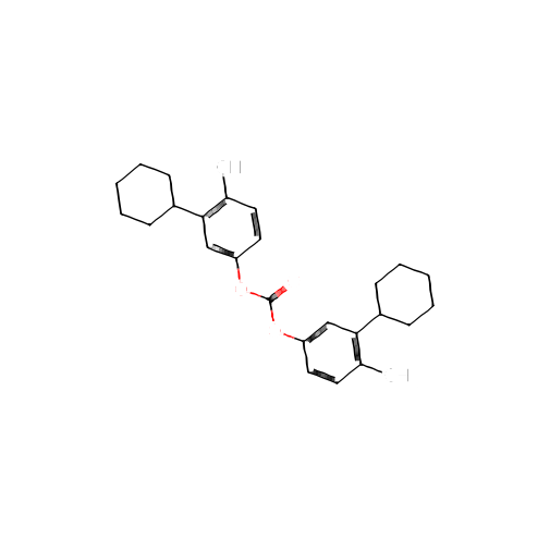 Cc1ccc(OC(=O)Oc2ccc(C)c(C3CCCCC3)c2)cc1C1CCCCC1